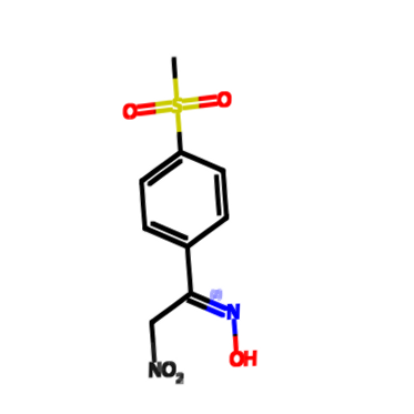 CS(=O)(=O)c1ccc(/C(C[N+](=O)[O-])=N/O)cc1